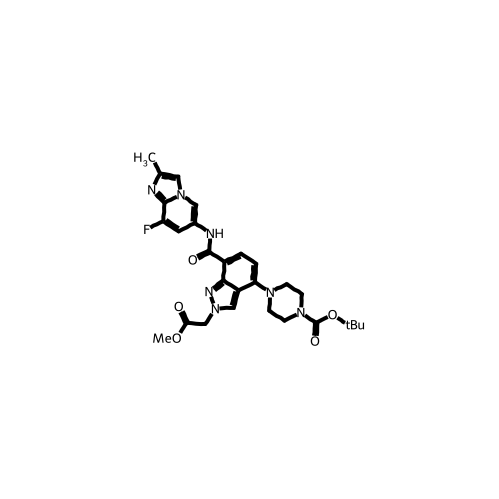 COC(=O)Cn1cc2c(N3CCN(C(=O)OC(C)(C)C)CC3)ccc(C(=O)Nc3cc(F)c4nc(C)cn4c3)c2n1